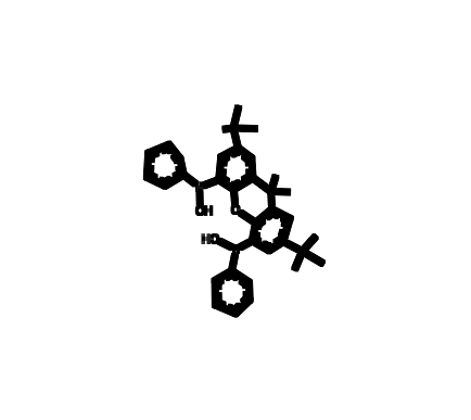 CC(C)(C)c1cc(B(O)c2ccccc2)c2c(c1)C(C)(C)c1cc(C(C)(C)C)cc(B(O)c3ccccc3)c1O2